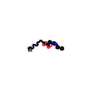 CC/C=C\C/C=C\C/C=C\C/C=C\C/C=C\C/C=C\CCC(=O)OCn1c(=O)oc2c(N3CCN(Cc4cccc(-c5ccccc5)c4)CC3)cccc21